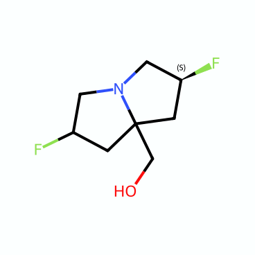 OCC12CC(F)CN1C[C@@H](F)C2